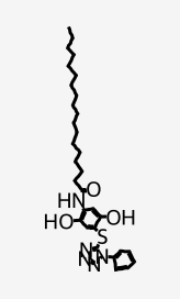 CCCCCCCCCCCCCCCCCC(=O)Nc1cc(O)c(Sc2nnnn2-c2ccccc2)cc1O